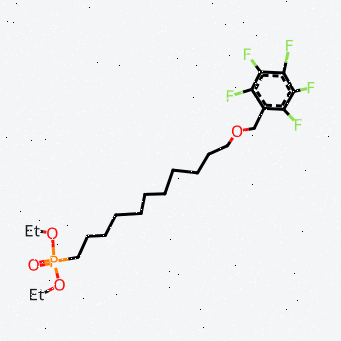 CCOP(=O)(CCCCCCCCCCCOCc1c(F)c(F)c(F)c(F)c1F)OCC